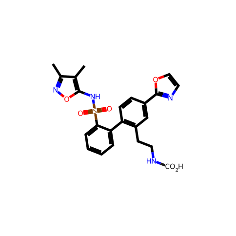 Cc1noc(NS(=O)(=O)c2ccccc2-c2ccc(-c3ncco3)cc2CCNC(=O)O)c1C